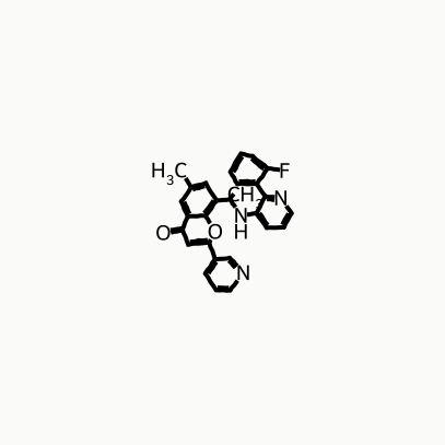 Cc1cc(C(C)Nc2cccnc2-c2ccccc2F)c2oc(-c3cccnc3)cc(=O)c2c1